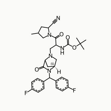 CC1CC(C#N)N(C(=O)C(CN2C[C@@H]3CC2C(=O)N3C(c2ccc(F)cc2)c2ccc(F)cc2)NC(=O)OC(C)(C)C)C1